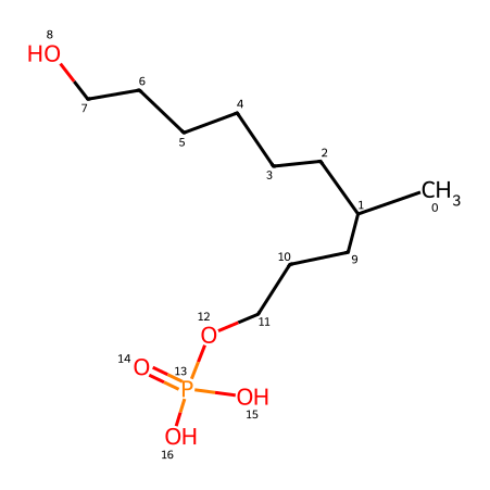 CC(CCCCCCO)CCCOP(=O)(O)O